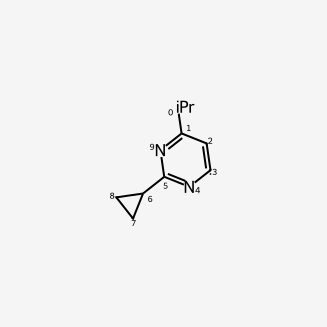 CC(C)c1c[c]nc(C2CC2)n1